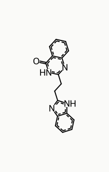 O=c1[nH]c(CCc2nc3ccccc3[nH]2)nc2ccccc12